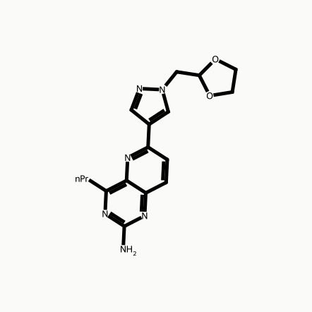 CCCc1nc(N)nc2ccc(-c3cnn(CC4OCCO4)c3)nc12